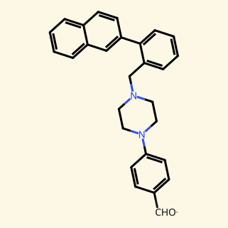 O=[C]c1ccc(N2CCN(Cc3ccccc3-c3ccc4ccccc4c3)CC2)cc1